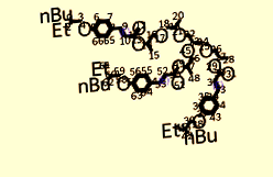 CCCCC(CC)COc1ccc(/C=C/C(=O)OC(C)COCC(C)OCC(COCC(C)OC(=O)/C=C/c2ccc(OCC(CC)CCCC)cc2)OCC(C)OC(=O)/C=C/c2ccc(OCC(CC)CCCC)cc2)cc1